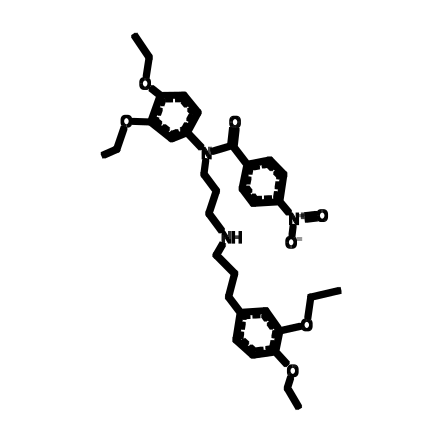 CCOc1ccc(CCCNCCCN(C(=O)c2ccc([N+](=O)[O-])cc2)c2ccc(OCC)c(OCC)c2)cc1OCC